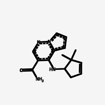 CC1(C)C=CCC1Nc1c(C(N)=O)cnn2cccc12